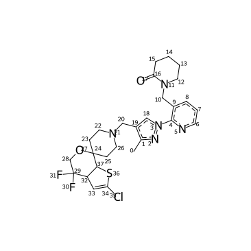 Cc1nn(-c2ncccc2CN2CCCCC2=O)cc1CN1CCC2(CC1)OCC(F)(F)C1C=C(Cl)SC12